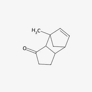 CC12C=CC(C1)C1CCC(=O)C12